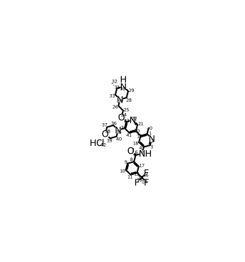 Cc1ncc(NC(=O)c2cccc(C(F)(F)F)c2)cc1-c1cnc(OCCN2CCN[C@@H](C)C2)c(N2CCOCC2)c1.Cl